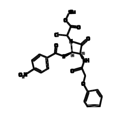 CC(C)(C)OC(=O)C(Cl)N1C(=O)[C@@H](NC(=O)COc2ccccc2)[C@H]1SC(=O)c1ccc([N+](=O)[O-])cc1